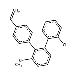 C.C=Cc1ccc(-c2c(Cl)cccc2-c2ccccc2Cl)cc1